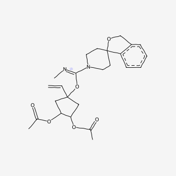 C=CC1(O/C(=N\C)N2CCC3(CC2)OCc2ccccc23)CC(OC(C)=O)C(OC(C)=O)C1